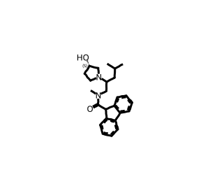 CC(C)CC(CN(C)C(=O)C1c2ccccc2-c2ccccc21)N1CC[C@H](O)C1